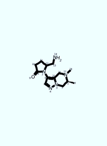 C[C@H]1Cn2ncc(N3C(=O)CCC3CN)c2CN1C